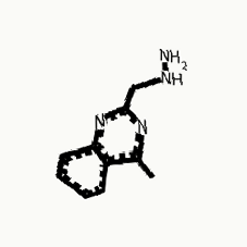 Cc1nc(CNN)nc2ccccc12